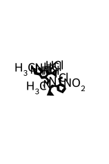 Cl.Cl.Cl.Cn1cc2cc(-c3nc(-c4cccc([N+](=O)[O-])c4CCl)c(C4CC4)n3C)c(C3CC3)nc2n1